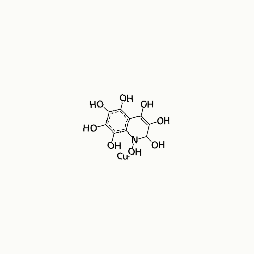 OC1=C(O)C(O)N(O)c2c(O)c(O)c(O)c(O)c21.[Cu]